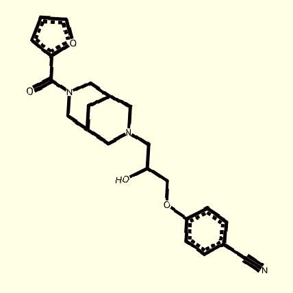 N#Cc1ccc(OCC(O)CN2CC3CC(C2)CN(C(=O)c2ccco2)C3)cc1